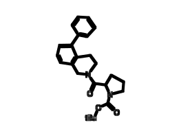 CC(C)(C)OC(=O)N1CCCC1C(=O)N1CCc2c(cccc2-c2ccccc2)C1